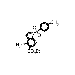 CCOC(=O)c1cnc2c(ccn2S(=O)(=O)c2ccc(C)cc2)c1C